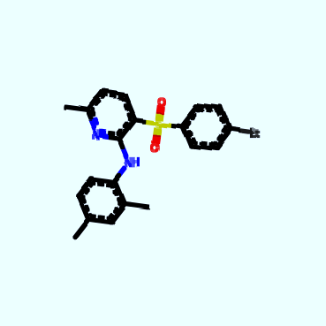 CCc1ccc(S(=O)(=O)c2ccc(C)nc2Nc2ccc(C)cc2C)cc1